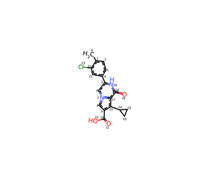 Cc1ccc(-c2cn3cc(C(=O)O)c(C4CC4)c3c(=O)[nH]2)cc1Cl